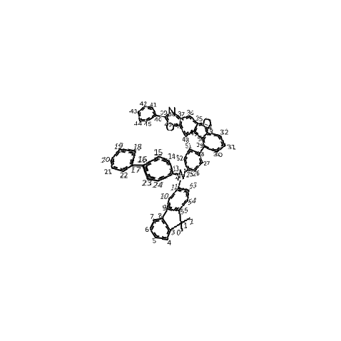 CC1(C)c2ccccc2-c2cc(N(c3ccc(-c4ccccc4)cc3)c3ccc(-c4cccc5oc6cc7nc(-c8ccccc8)oc7cc6c45)cc3)ccc21